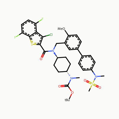 COc1ccc(-c2ccc(N(C)S(C)(=O)=O)cc2)cc1CN(C(=O)c1sc2c(F)ccc(F)c2c1Cl)[C@H]1CC[C@H](N(C)C(=O)OC(C)(C)C)CC1